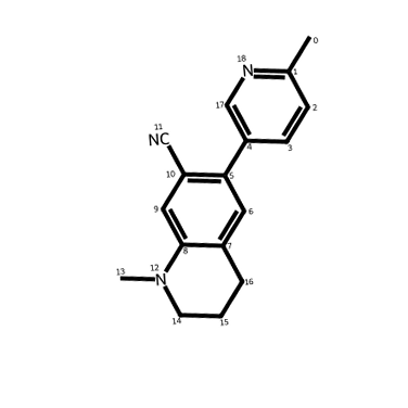 Cc1ccc(-c2cc3c(cc2C#N)N(C)CCC3)cn1